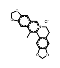 Cc1c2[n+](cc3cc4c(cc13)OCO4)CCc1cc3c(cc1-2)OCO3.[Cl-]